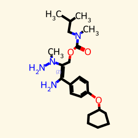 CC(C)CN(C)C(=O)OC/C(=C(/N)c1ccc(OC2CCCCC2)cc1)N(C)N